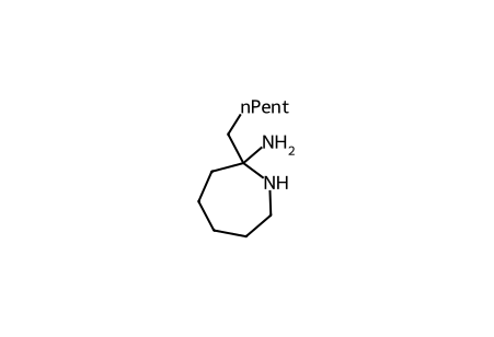 CCCCCCC1(N)CCCCCN1